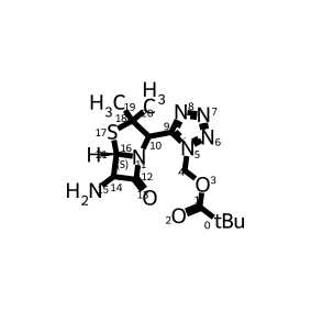 CC(C)(C)C(=O)OCn1nnnc1C1N2C(=O)C(N)[C@@H]2SC1(C)C